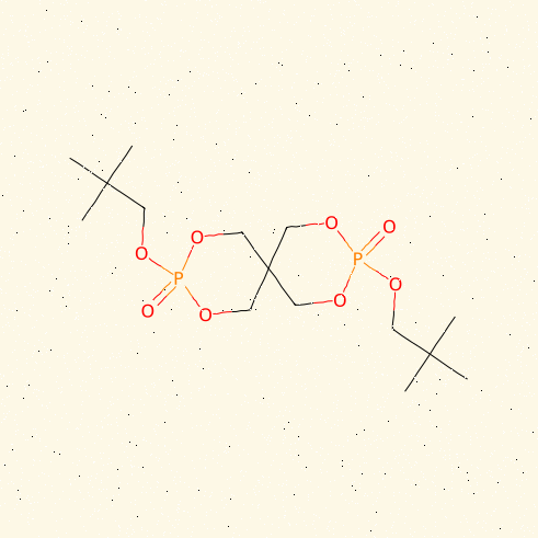 CC(C)(C)COP1(=O)OCC2(CO1)COP(=O)(OCC(C)(C)C)OC2